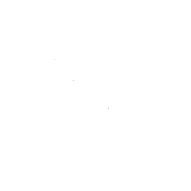 c1ccc(N(c2ccccc2)c2cccc3oc4ccc(-c5ccc6sc7cc(-c8cccc9c8sc8ccccc89)ccc7c6c5)cc4c23)cc1